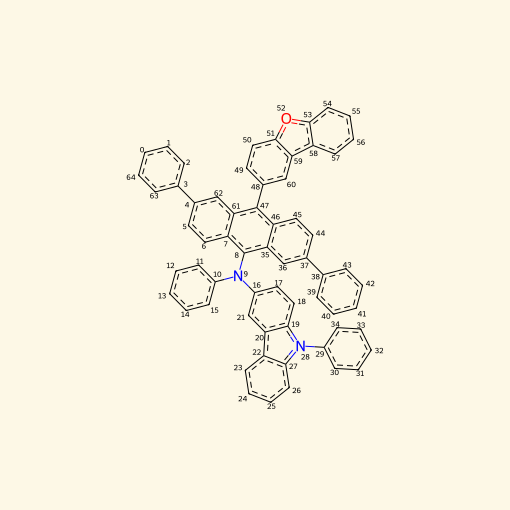 c1ccc(-c2ccc3c(N(c4ccccc4)c4ccc5c(c4)c4ccccc4n5-c4ccccc4)c4cc(-c5ccccc5)ccc4c(-c4ccc5oc6ccccc6c5c4)c3c2)cc1